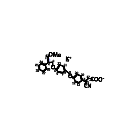 CO/N=C(\COc1ccc(COc2ccc(C(C#N)CC(=O)[O-])cc2)cc1)c1ccccc1.[K+]